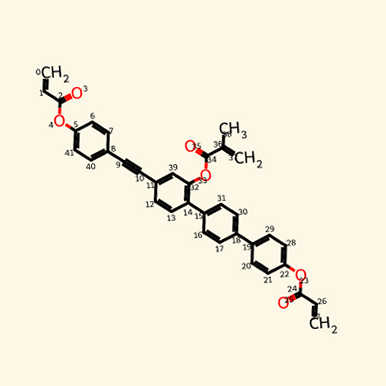 C=CC(=O)Oc1ccc(C#Cc2ccc(-c3ccc(-c4ccc(OC(=O)C=C)cc4)cc3)c(OC(=O)C(=C)C)c2)cc1